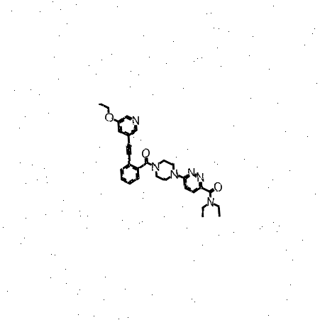 CCOc1cncc(C#Cc2ccccc2C(=O)N2CCN(c3ccc(C(=O)N(CC)CC)nn3)CC2)c1